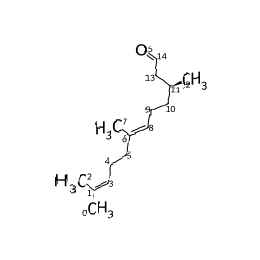 CC(C)=CCC/C(C)=C/CC[C@H](C)CC=O